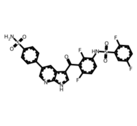 NS(=O)(=O)c1ccc(-c2cnc3[nH]cc(C(=O)c4c(F)ccc(NS(=O)(=O)c5cc(F)ccc5F)c4F)c3c2)cc1